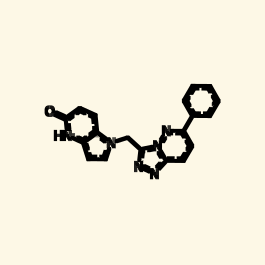 O=c1ccc2c(ccn2Cc2nnc3ccc(-c4ccccc4)nn23)[nH]1